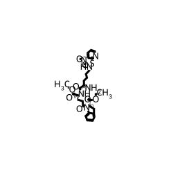 CCOC(=O)[C@@H](CCC(=O)N1c2ccccc2C[C@H]1C(=O)OCC)NC(=O)[C@@H](N)CCCCNSc1ncccc1[N+](=O)[O-]